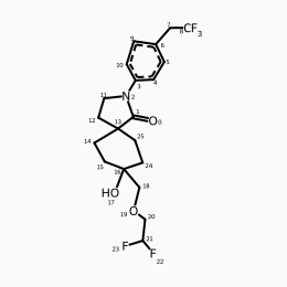 O=C1N(c2ccc(CC(F)(F)F)cc2)CCC12CCC(O)(COCC(F)F)CC2